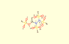 CC(OS(C)(=O)=O)N(N(S(C)(=O)=O)S(C)(=O)=O)S(C)(=O)=O